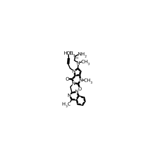 CC#CCn1c(N(C)C[C@H](C)N)cc2c1c(=O)n(Cc1nc(C)c3ccccc3n1)c(=O)n2C